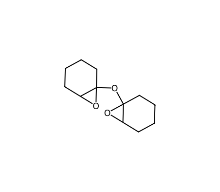 C1CCC2(OC34CCCCC3O4)OC2C1